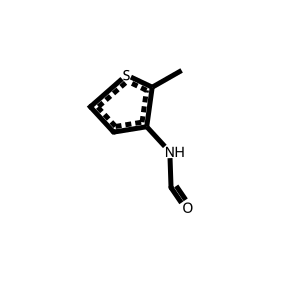 Cc1sccc1NC=O